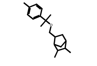 Cc1ccc(C(C)(C)OCC2CC3CC2C(C)C3C)cc1